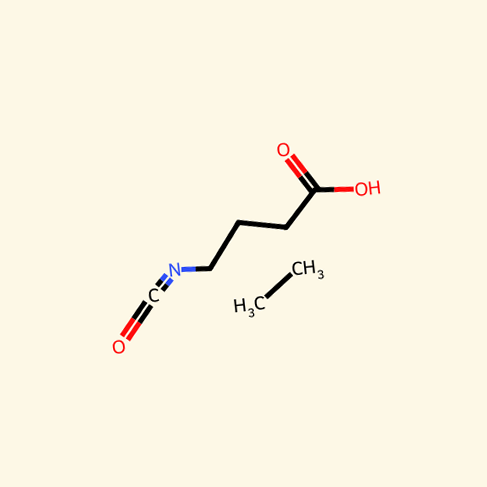 CC.O=C=NCCCC(=O)O